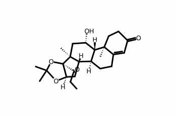 CCC(=O)[C@@]12OC(C)(C)O[C@@H]1C[C@H]1[C@@H]3CCC4=CC(=O)CC[C@]4(C)[C@H]3[C@@H](O)C[C@@]12C